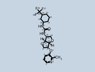 Cc1ncccc1O[C@H]1CO[C@H]2[C@@H]1OC[C@@H]2NC(=O)NC1CCCC(C(F)(F)F)C1